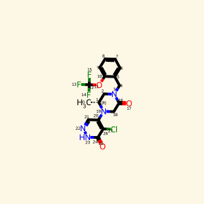 C[C@@H]1CN(Cc2ccccc2OC(F)(F)F)C(=O)CN1c1cn[nH]c(=O)c1Cl